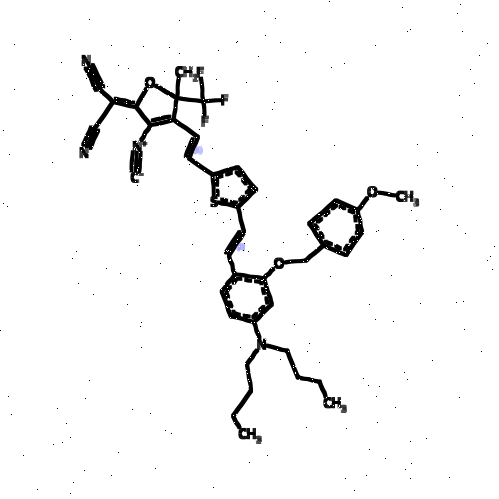 [C-]#[N+]C1=C(/C=C/c2ccc(/C=C/c3ccc(N(CCCC)CCCC)cc3OCc3ccc(OC)cc3)s2)C(C)(C(F)(F)F)OC1=C(C#N)C#N